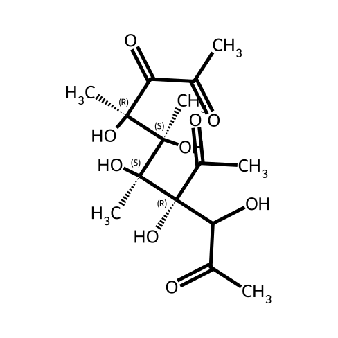 CC(=O)C(=O)[C@](C)(O)[C@@](C)(O)[C@](C)(O)[C@@](O)(C(C)=O)C(O)C(C)=O